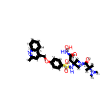 Cc1cc(COc2ccc(S(=O)(=O)NC3(CC(=O)NO)CN(C(=O)C(C)(C)N(C)C)C3)cc2)c2ccccc2n1